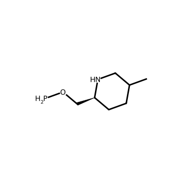 CC1CC[C@@H](COP)NC1